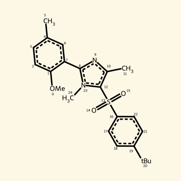 COc1ccc(C)cc1-c1nc(C)c(S(=O)(=O)c2ccc(C(C)(C)C)cc2)n1C